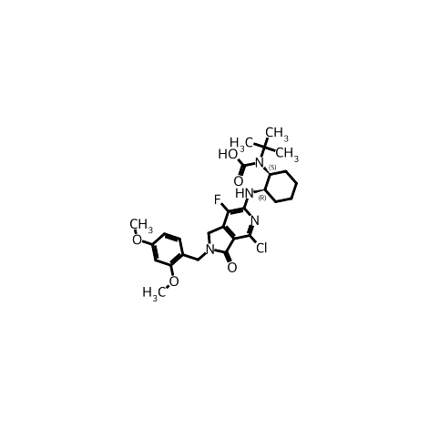 COc1ccc(CN2Cc3c(F)c(N[C@@H]4CCCC[C@@H]4N(C(=O)O)C(C)(C)C)nc(Cl)c3C2=O)c(OC)c1